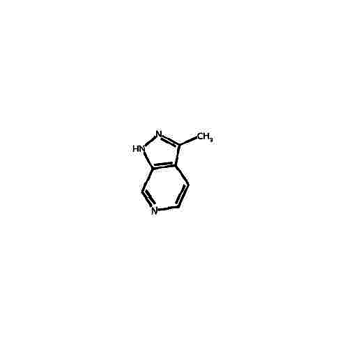 Cc1n[nH]c2cnccc12